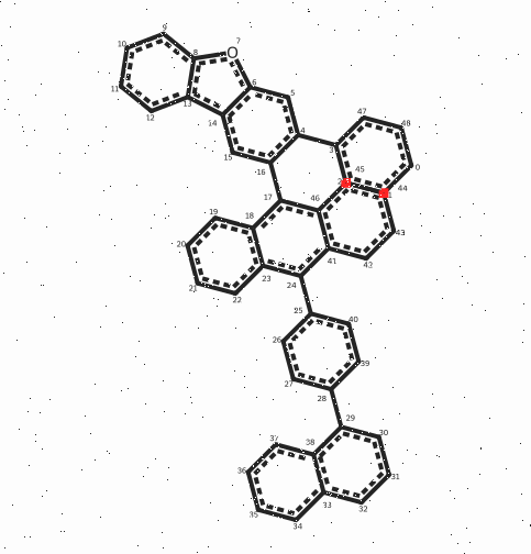 c1ccc(-c2cc3oc4ccccc4c3cc2-c2c3ccccc3c(-c3ccc(-c4cccc5ccccc45)cc3)c3ccccc23)cc1